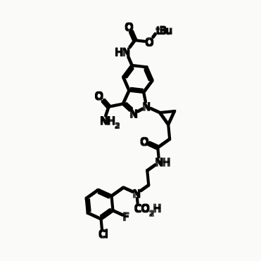 CC(C)(C)OC(=O)Nc1ccc2c(c1)c(C(N)=O)nn2C1CC1CC(=O)NCCN(Cc1cccc(Cl)c1F)C(=O)O